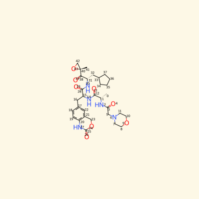 C[C@H](NC(=O)CN1CCOCC1)C(=O)NC(Cc1ccc2c(c1)COC(=O)N2)C(=O)N[C@@H](CC1CCCC1)C(=O)[C@@]1(C)CO1